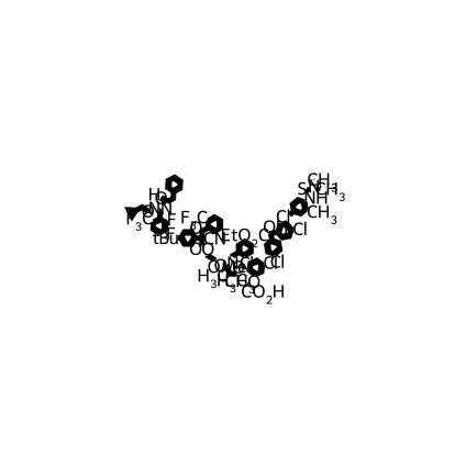 CC(Oc1cccc(Cl)c1)C(=O)O.CC1(C)CON(Cc2ccccc2Cl)C1=O.CCOC(=O)C(O)(c1ccc(Cl)cc1)c1ccc(Cl)cc1.COCCOC(=O)C(C#N)(C(=O)c1ccccc1C(F)(F)F)c1ccc(C(C)(C)C)cc1.Cc1cc(Cl)ccc1NC(=S)N(C)C.O=C(Cc1ccccc1)/N=C(\NOCC1CC1)c1c(C(F)(F)F)ccc(F)c1F